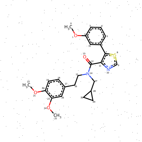 COc1cccc(-c2scnc2C(=O)N(CCc2ccc(OC)c(OC)c2)CC2CC2)c1